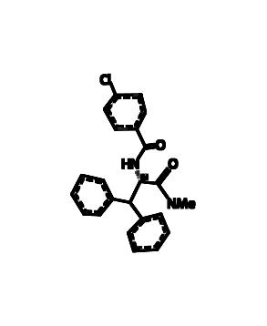 CNC(=O)[C@@H](NC(=O)c1ccc(Cl)cc1)C(c1ccccc1)c1ccccc1